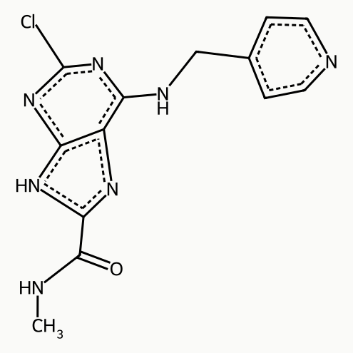 CNC(=O)c1nc2c(NCc3ccncc3)nc(Cl)nc2[nH]1